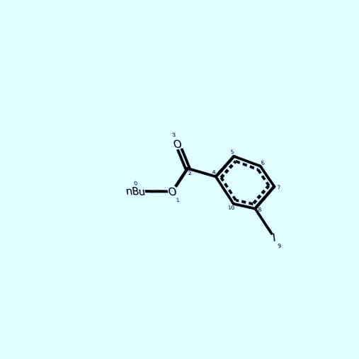 CCCCOC(=O)c1cccc(I)c1